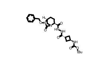 CC(C)(C)OC(=O)N[C@H]1C[C@H](C(=O)NNC(=O)[C@@H]2CC[C@H]3CN2C(=O)N3OCc2ccccc2)C1